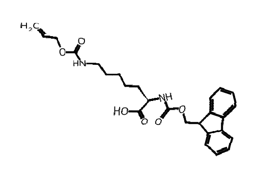 C=CCOC(=O)NCCCCC[C@@H](NC(=O)OCC1c2ccccc2-c2ccccc21)C(=O)O